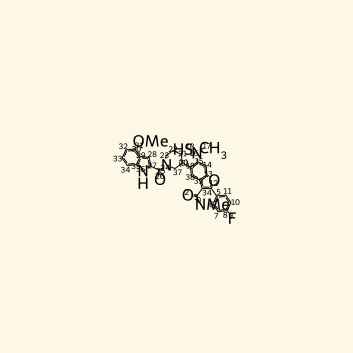 CNC(=O)c1c(-c2ccc(F)cc2)oc2cc(N(C)S)c([C@@H]3CCCN(C(=O)c4cc5c(OC)cccc5[nH]4)C3)cc12